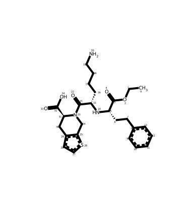 CCOC(=O)[C@H](CCc1ccccc1)N[C@@H](CCCCN)C(=O)N1Cc2sccc2C[C@H]1C(=O)O